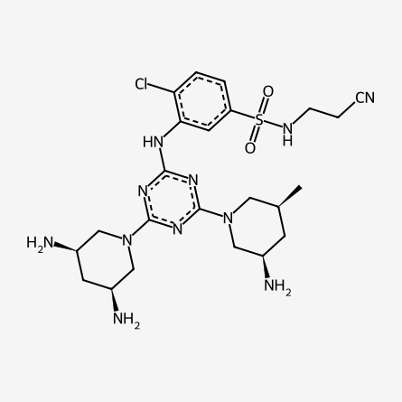 C[C@H]1C[C@@H](N)CN(c2nc(Nc3cc(S(=O)(=O)NCCC#N)ccc3Cl)nc(N3C[C@H](N)C[C@H](N)C3)n2)C1